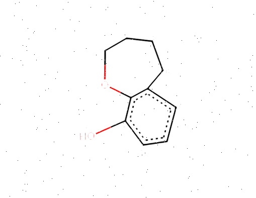 Oc1cccc2c1OCCCC2